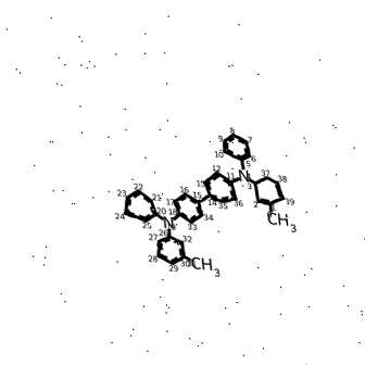 CC1=CC(N(c2ccccc2)c2ccc(-c3ccc(N(c4ccccc4)c4cccc(C)c4)cc3)cc2)CC=C1